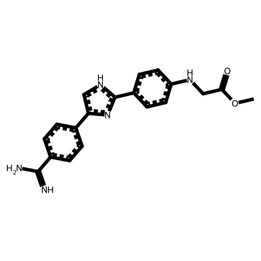 COC(=O)CNc1ccc(-c2nc(-c3ccc(C(=N)N)cc3)c[nH]2)cc1